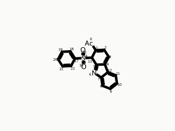 CC(=O)C1=CC=C2C(=Nc3ccccc32)C1S(=O)(=O)c1ccccc1